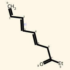 C=C/C=C/C=CCC(=O)CC